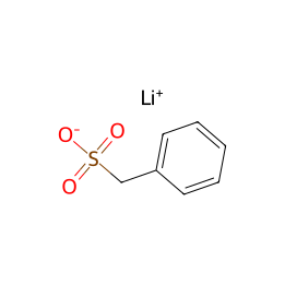 O=S(=O)([O-])Cc1ccccc1.[Li+]